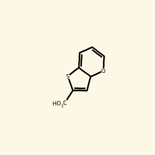 O=C(O)C1=CC2OC=CC=C2S1